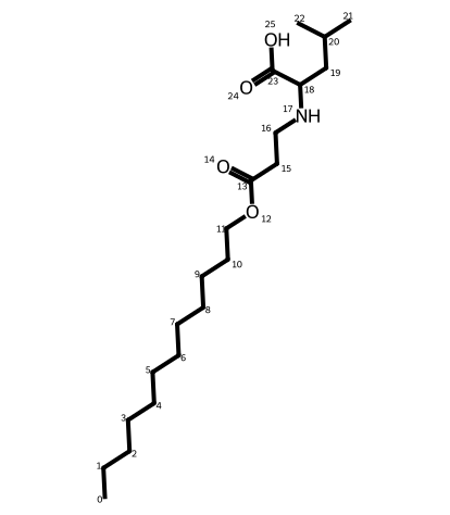 CCCCCCCCCCCCOC(=O)CCNC(CC(C)C)C(=O)O